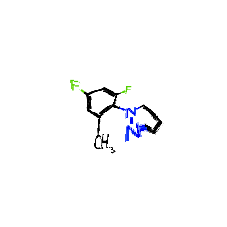 Cc1cc(F)cc(F)c1-n1cccn1